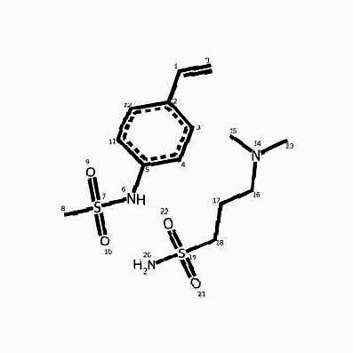 C=Cc1ccc(NS(C)(=O)=O)cc1.CN(C)CCCS(N)(=O)=O